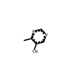 Cc1ncncc1C#N